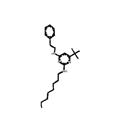 CCCCCCCCNc1nc(NCCc2ccccc2)cc(C(C)(C)C)n1